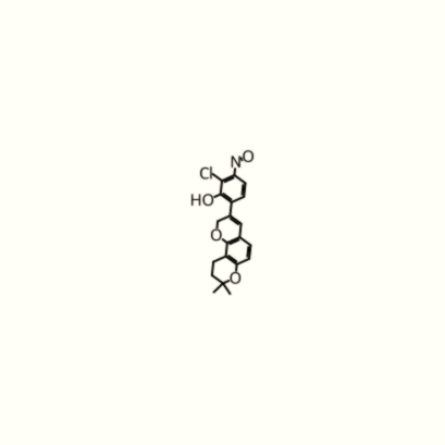 CC1(C)CCc2c(ccc3c2OCC(c2ccc(N=O)c(Cl)c2O)=C3)O1